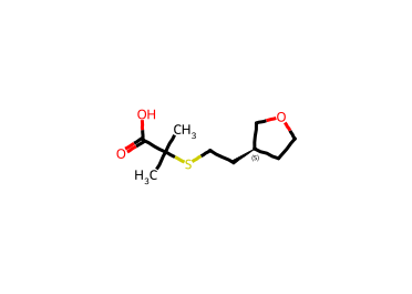 CC(C)(SCC[C@@H]1CCOC1)C(=O)O